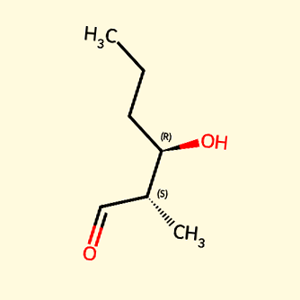 CCC[C@@H](O)[C@H](C)C=O